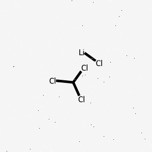 ClC(Cl)Cl.[Li][Cl]